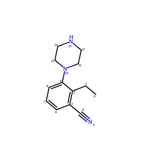 CCc1c(C#N)cccc1N1CCNCC1